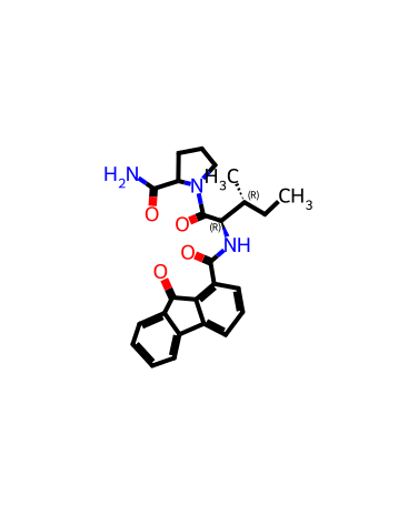 CC[C@@H](C)[C@@H](NC(=O)c1cccc2c1C(=O)c1ccccc1-2)C(=O)N1CCCC1C(N)=O